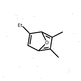 CCc1cc2oc1c(C)c2C